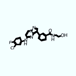 O=C(NCCO)c1cccc(-c2cnn3ccc(Nc4ccc(F)c(Cl)c4)nc23)c1